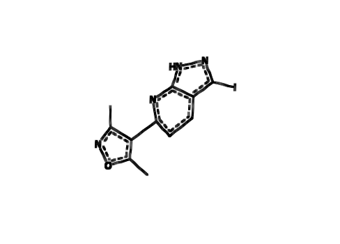 Cc1noc(C)c1-c1ccc2c(I)n[nH]c2n1